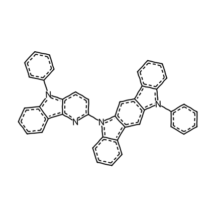 c1ccc(-n2c3ccccc3c3cc4c(cc32)c2ccccc2n4-c2ccc3c(n2)c2ccccc2n3-c2ccccc2)cc1